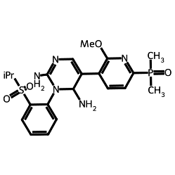 COc1nc(P(C)(C)=O)ccc1C1=CN=C(N)N(c2ccccc2S(=O)(=O)C(C)C)C1N